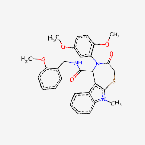 COc1ccc(OC)c(N2C(=O)CSc3c(c4ccccc4n3C)C2C(=O)NCc2ccccc2OC)c1